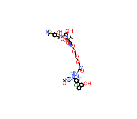 COc1cc(-c2scnc2C)ccc1[C@H](C)NC(=O)[C@@H]1C[C@@H](O)CN1C(=O)[C@H](c1cc(OCCOCCOCCOCCN(C)C(=O)CCNc2nc(N3CCN(C(C)=O)CC3)c3cc(Cl)c(-c4cc(O)cc5ccccc45)c(F)c3n2)no1)C(C)C